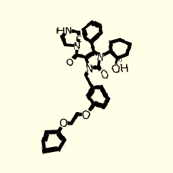 O=C(c1c(-c2ccccc2)n(C2CCCC[C@H]2O)c(=O)n1Cc1cccc(OCCOc2ccccc2)c1)N1CCNCC1